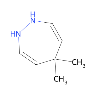 CC1(C)C=CNNC=C1